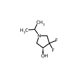 CC(C)N1C[C@H](O)C(F)(F)C1